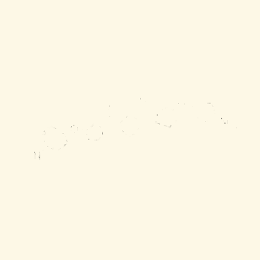 Nc1ccc(Oc2cccc(C(=O)c3cccc(C(=O)c4cccc(Oc5ccc(N)cc5)c4)c3)c2)cc1